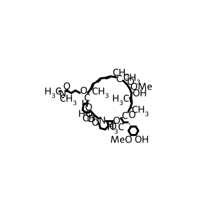 CO[C@@H]1C[C@H](C[C@@H](C)[C@@H]2CC(=O)[C@H](C)/C=C(\C)[C@@H](O)[C@@H](OC)C(=O)[C@H](C)C[C@H](C)/C=C/C=C/C=C(\C)C(OCCCC(=O)N(C)C)C[C@@H]3CC[C@@H](C)[C@@](O)(O3)C(=O)C(=O)N3CCCC[C@H]3C(=O)O2)CC[C@H]1O